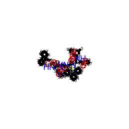 CC(C)C[C@H](NC(=O)[C@H](CCC(=O)OC(C)(C)C)NC(=O)[C@H](CSC(c1ccccc1)(c1ccccc1)c1ccccc1)NC(=O)CNC(=O)[C@H](CC(=O)OC(C)(C)C)NC(=O)OCC1c2ccccc2-c2ccccc21)C(=O)OC(C)(C)C